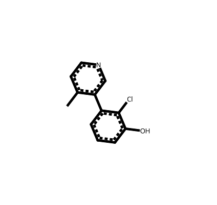 Cc1ccncc1-c1cccc(O)c1Cl